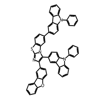 c1ccc(-n2c3ccccc3c3cc(-c4ccc5sc6nc(-c7ccc8oc9ccccc9c8c7)c(-c7ccc8c(c7)c7ccccc7n8-c7ccccc7)n6c5c4)ccc32)cc1